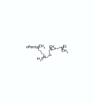 CCCCCN(C)CCCCN(C)CC1CC1CN(C)CCCCN(C)CC